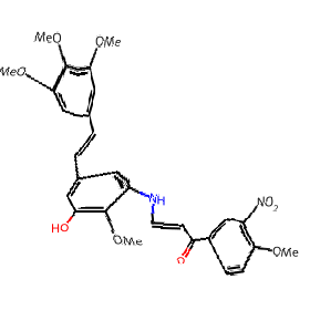 COc1ccc(C(=O)C=CNc2cc(C=Cc3cc(OC)c(OC)c(OC)c3)cc(O)c2OC)cc1[N+](=O)[O-]